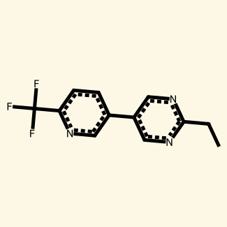 CCc1ncc(-c2ccc(C(F)(F)F)nc2)cn1